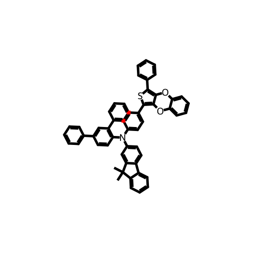 CC1(C)c2ccccc2-c2ccc(N(c3ccc(-c4sc(-c5ccccc5)c5c4Oc4ccccc4O5)cc3)c3ccc(-c4ccccc4)cc3-c3ccccc3)cc21